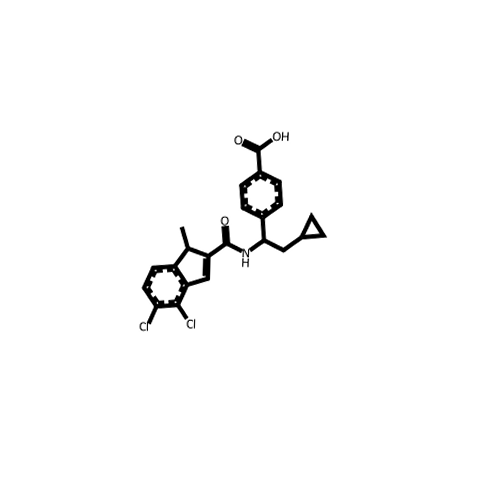 CC1C(C(=O)NC(CC2CC2)c2ccc(C(=O)O)cc2)=Cc2c1ccc(Cl)c2Cl